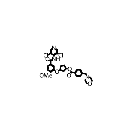 COc1ccc(C(=O)Nc2c(Cl)cncc2Cl)cc1OC1CCC(OC(=O)c2ccc(CN3CCOCC3)cc2)C1